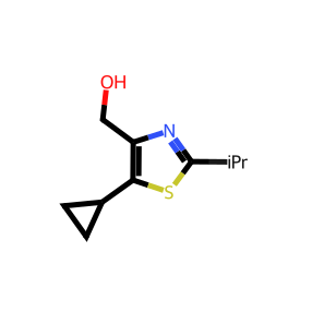 CC(C)c1nc(CO)c(C2CC2)s1